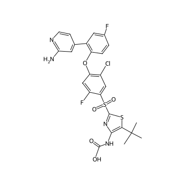 CC(C)(C)c1sc(S(=O)(=O)c2cc(Cl)c(Oc3ccc(F)cc3-c3ccnc(N)c3)cc2F)nc1NC(=O)O